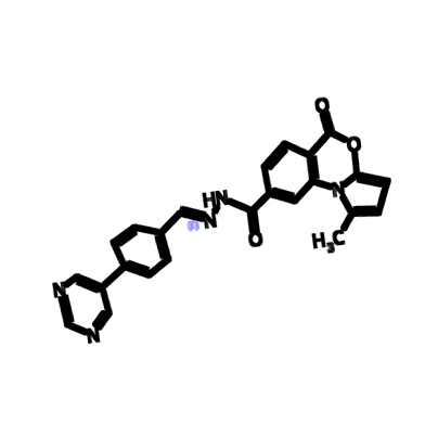 Cc1ccc2oc(=O)c3ccc(C(=O)N/N=C/c4ccc(-c5cncnc5)cc4)cc3n12